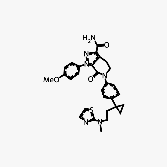 COc1ccc(-n2nc(C(N)=O)c3c2C(=O)N(c2ccc(C4(CCN(C)c5nccs5)CC4)cc2)CC3)cc1